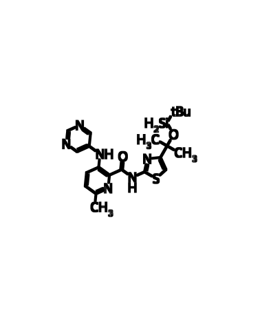 Cc1ccc(Nc2cncnc2)c(C(=O)Nc2nc(C(C)(C)O[SiH2]C(C)(C)C)cs2)n1